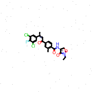 CCN1OC[C@@H](NC(=O)c2ccc(C(=O)/C=C(/C)c3cc(Cl)c(F)c(Cl)c3)cc2C)C1=O